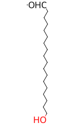 O=[C]CCCCCCCCCCCCCCCCCO